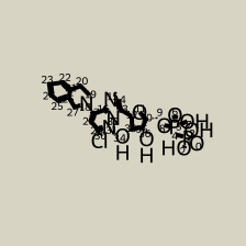 O=P(O)(O)CP(=O)(O)OC[C@H]1OC(c2cnc3c(N4CCc5ccccc5C4)cc(Cl)nn23)[C@H](O)[C@@H]1O